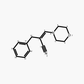 N#C/C(=C\N1CCOCC1)Cc1ccccc1